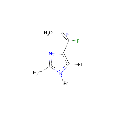 C/C=C(/F)c1nc(C)n(C(C)C)c1CC